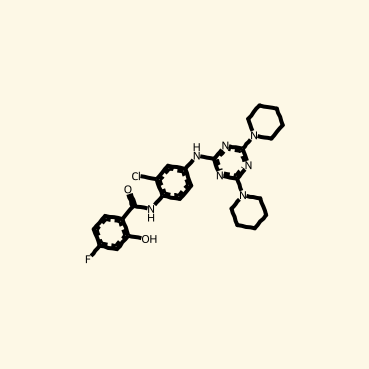 O=C(Nc1ccc(Nc2nc(N3CCCCC3)nc(N3CCCCC3)n2)cc1Cl)c1ccc(F)cc1O